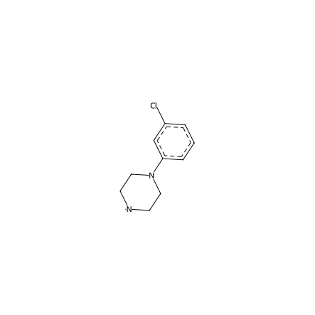 Clc1cccc(N2CC[N]CC2)c1